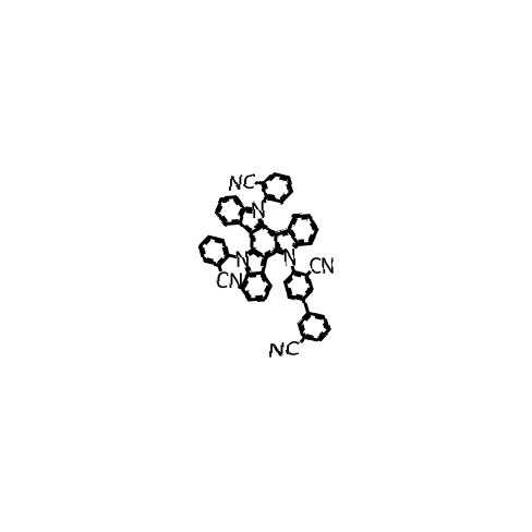 N#Cc1cccc(-c2ccc(-n3c4ccccc4c4c5c(c6ccccc6n5-c5ccccc5C#N)c5c(c6ccccc6n5-c5ccccc5C#N)c43)c(C#N)c2)c1